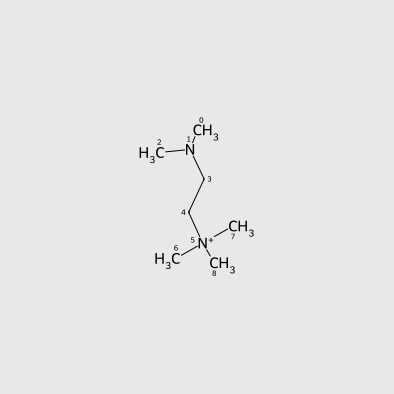 CN(C)CC[N+](C)(C)C